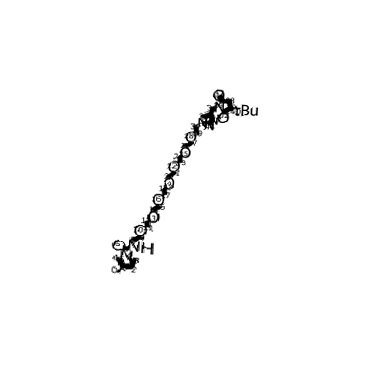 C[C@@H]1CCN(C(=O)NCCOCCOCCOCCOCCOCCOCCOCCn2cc(CN3C(=O)CC(C(C)(C)C)C3=O)nn2)C1